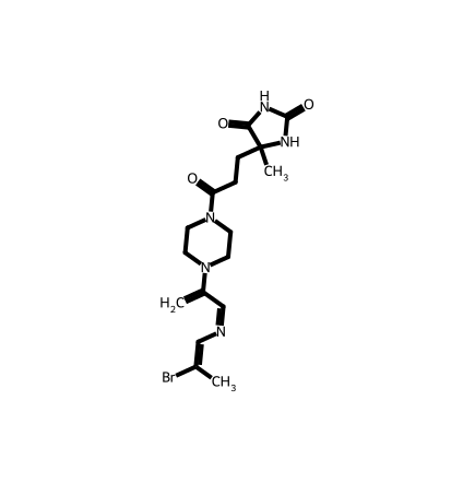 C=C(/C=N\C=C(/C)Br)N1CCN(C(=O)CCC2(C)NC(=O)NC2=O)CC1